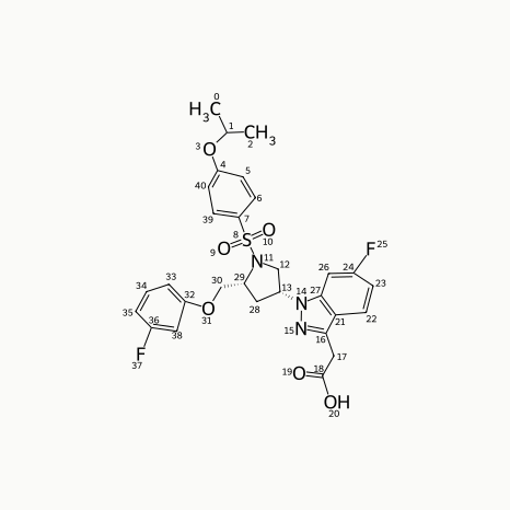 CC(C)Oc1ccc(S(=O)(=O)N2C[C@H](n3nc(CC(=O)O)c4ccc(F)cc43)C[C@@H]2COc2cccc(F)c2)cc1